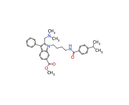 COC(=O)c1ccc2c(-c3ccccc3)c(CN(C)C)n(CCCCNC(=O)c3ccc(C(C)C)cc3)c2c1